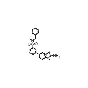 CN(Cc1ccccc1)S(=O)(=O)c1cncc(-c2ccc3nc(N)nn3c2)c1